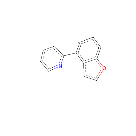 [c]1ccc2occc2c1-c1ccccn1